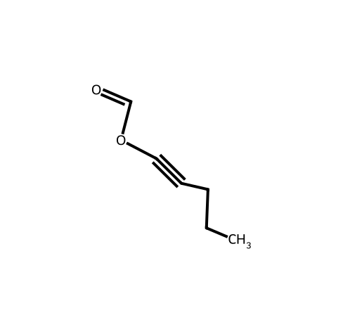 CCCC#COC=O